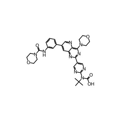 CC(C)(C)N(C(=O)O)c1ncc(-c2nc(N3CCOCC3)c3ncc(-c4cccc(NC(=O)N5CCOCC5)c4)cc3n2)cn1